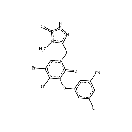 Cn1c(Cn2cc(Br)c(Cl)c(Oc3cc(Cl)cc(C#N)c3)c2=O)n[nH]c1=O